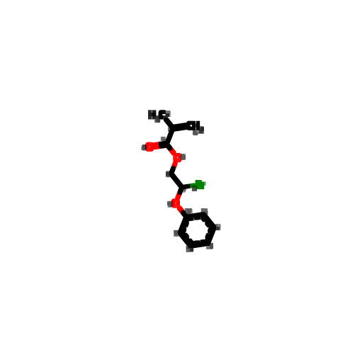 C=C(C)C(=O)OCC(Br)Oc1ccccc1